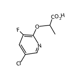 CC(Oc1ncc(Cl)cc1F)C(=O)O